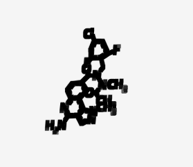 CC(=O)N(C)N(Cc1c(F)cc(Cl)cc1F)C(=O)c1ccc2nc(N)c3cnn(C)c3c2c1